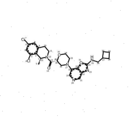 C[C@H]1c2c(Cl)cc(Cl)cc2CCN1C(=O)[C@H]1CN(c2cncc3nc(NCC4CCC4)oc23)CCO1